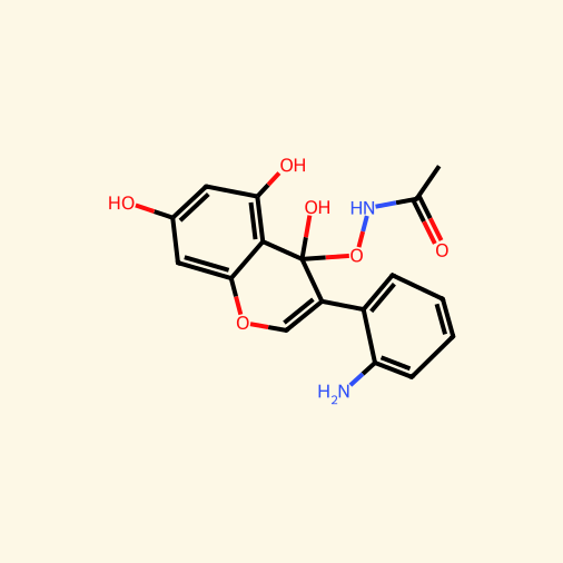 CC(=O)NOC1(O)C(c2ccccc2N)=COc2cc(O)cc(O)c21